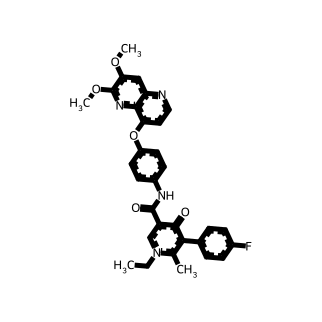 CCn1cc(C(=O)Nc2ccc(Oc3ccnc4cc(OC)c(OC)nc34)cc2)c(=O)c(-c2ccc(F)cc2)c1C